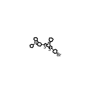 Brc1ccc(-c2cc3c(s2)c2sc(-c4ccc5c(c4)c4ccccc4n5-c4ccccc4)cc2n3-c2ccccc2)cc1